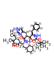 C=C[C@@H](C[C@H](O)[C@H](CC1CCCCC1)NC(=O)[C@@H](Cc1c[nH]cn1)C(=O)C(=Cc1ccccc1)NC(=O)OC(C)(C)C)C(C)C